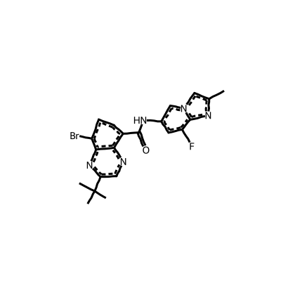 Cc1cn2cc(NC(=O)c3ccc(Br)c4nc(C(C)(C)C)cnc34)cc(F)c2n1